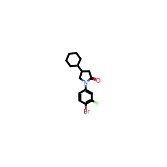 O=C1CC(C2CCCCC2)CN1c1ccc(Br)c(F)c1